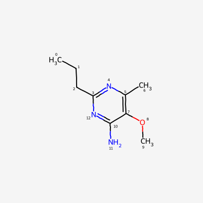 CCCc1nc(C)c(OC)c(N)n1